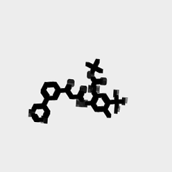 Cc1cc(NC(=O)CC(=O)c2cccc(-c3cncnc3)c2)c(NC(=O)OC(C)(C)C)cc1C(F)(F)F